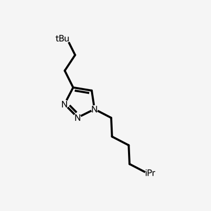 CC(C)CCCCn1cc(CCC(C)(C)C)nn1